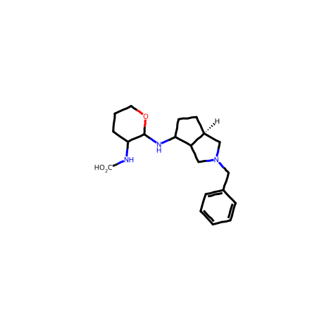 O=C(O)NC1CCCOC1NC1CC[C@H]2CN(Cc3ccccc3)CC12